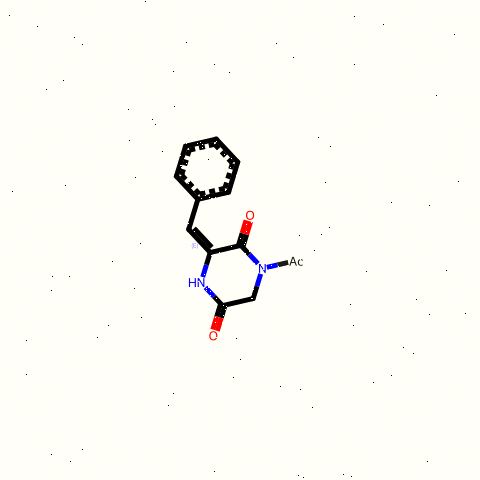 CC(=O)N1CC(=O)N/C(=C/c2ccccc2)C1=O